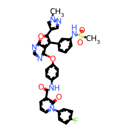 Cn1cc(-c2oc3ncnc(Oc4ccc(NC(=O)c5cccn(-c6ccc(F)cc6)c5=O)cc4)c3c2-c2cccc(NS(C)(=O)=O)c2)cn1